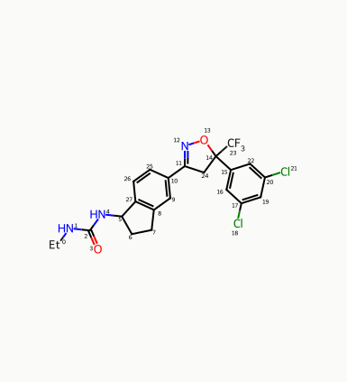 CCNC(=O)NC1CCc2cc(C3=NOC(c4cc(Cl)cc(Cl)c4)(C(F)(F)F)C3)ccc21